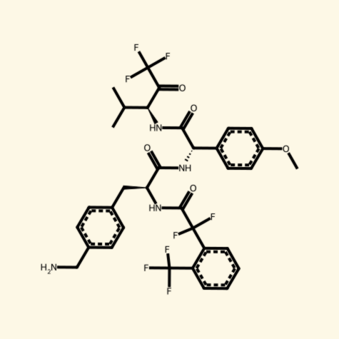 COc1ccc([C@H](NC(=O)[C@H](Cc2ccc(CN)cc2)NC(=O)C(F)(F)c2ccccc2C(F)(F)F)C(=O)N[C@H](C(=O)C(F)(F)F)C(C)C)cc1